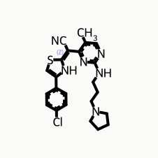 Cc1cnc(NCCCN2CCCC2)nc1/C(C#N)=C1\NC(c2ccc(Cl)cc2)=CS1